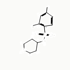 Cc1ccc(S(=O)(=O)OC2CCSCC2)c(C)c1